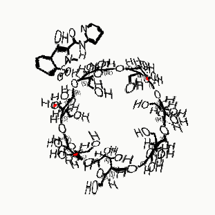 CN1C(C(=O)Nc2ccccn2)=C(O)c2ccccc2S1(=O)=O.OC[C@H]1O[C@@H]2O[C@H]3[C@H](O)[C@@H](O)[C@@H](O[C@H]4[C@H](O)[C@@H](O)[C@@H](O[C@H]5[C@H](O)[C@@H](O)[C@@H](O[C@H]6[C@H](O)[C@@H](O)[C@@H](O[C@H]7[C@H](O)[C@@H](O)[C@@H](O[C@H]8[C@H](O)[C@@H](O)[C@@H](O[C@H]1[C@H](O)[C@H]2O)O[C@@H]8CO)O[C@@H]7CO)O[C@@H]6CO)O[C@@H]5CO)O[C@@H]4CO)O[C@@H]3CO